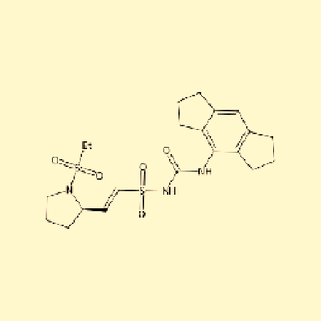 CCS(=O)(=O)N1CCC[C@@H]1/C=C/S(=O)(=O)NC(=O)Nc1c2c(cc3c1CCC3)CCC2